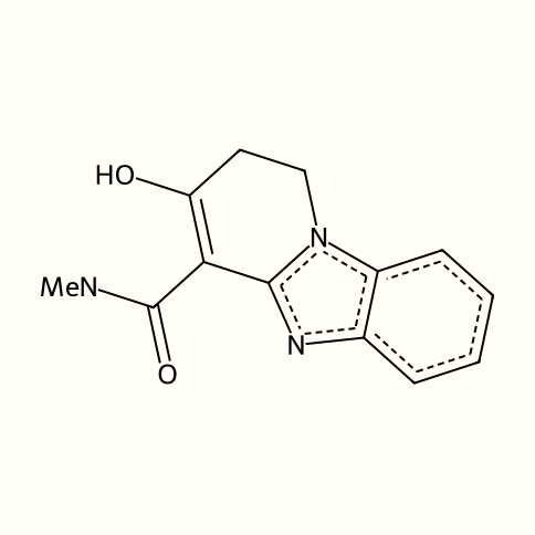 CNC(=O)C1=C(O)CCn2c1nc1ccccc12